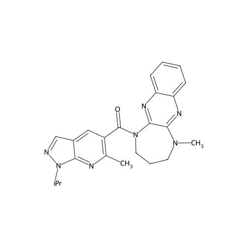 Cc1nc2c(cnn2C(C)C)cc1C(=O)N1CCCN(C)c2nc3ccccc3nc21